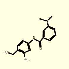 CN(C)c1cccc(C(=O)Nc2ccc(CN)c(N)c2)c1